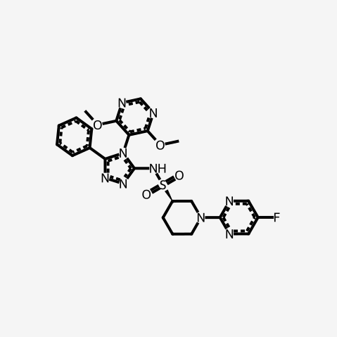 COc1ncnc(OC)c1-n1c(NS(=O)(=O)[C@@H]2CCCN(c3ncc(F)cn3)C2)nnc1-c1ccccc1